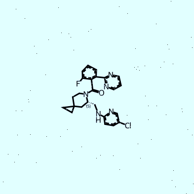 O=C(c1c(F)cccc1-c1ncccn1)N1CCC2(CC2)C[C@H]1CNc1ccc(Cl)cn1